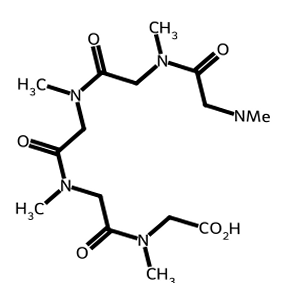 CNCC(=O)N(C)CC(=O)N(C)CC(=O)N(C)CC(=O)N(C)CC(=O)O